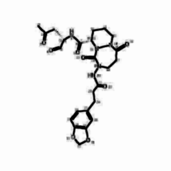 CC(=O)C[C@@H](C=O)NC(=O)[C@@H]1CCCN2C(=O)CCN(NC(=O)CCc3ccc4c(c3)OCO4)C(=O)N12